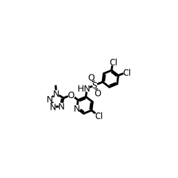 Cn1nnnc1Oc1ncc(Cl)cc1NS(=O)(=O)c1ccc(Cl)c(Cl)c1